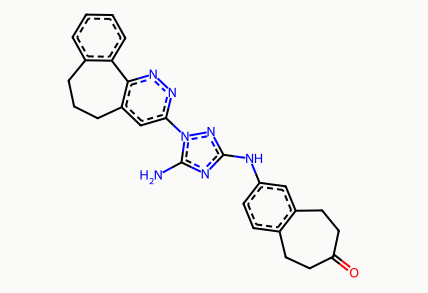 Nc1nc(Nc2ccc3c(c2)CCC(=O)CC3)nn1-c1cc2c(nn1)-c1ccccc1CCC2